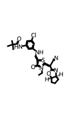 CCn1c(=C(C#N)C2=N[C@H]3CCC[C@H]3O2)sc(=CNc2cc(Cl)cc(NC(=O)C(C)(C)C)c2)c1=O